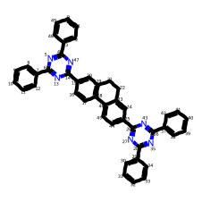 c1ccc(-c2nc(-c3ccccc3)nc(-c3ccc4c(c3)CCc3cc(-c5nc(-c6ccccc6)nc(-c6ccccc6)n5)ccc3-4)n2)cc1